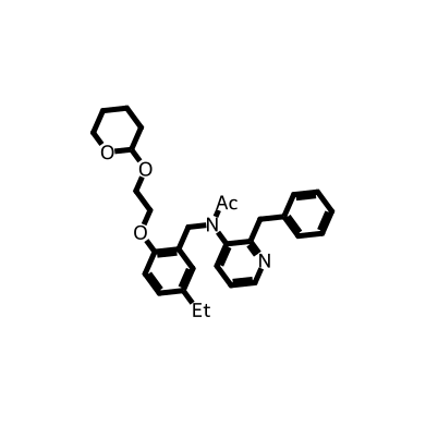 CCc1ccc(OCCOC2CCCCO2)c(CN(C(C)=O)c2cccnc2Cc2ccccc2)c1